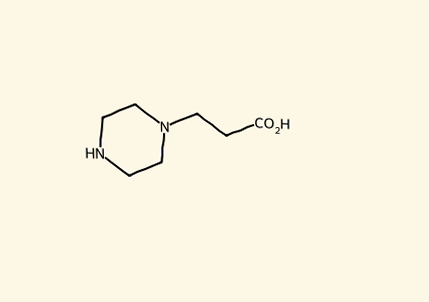 O=C(O)CCN1CCNCC1